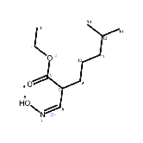 CCOC(=O)C(/C=N\O)CCCC(C)C